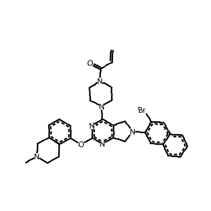 C=CC(=O)N1CCN(c2nc(Oc3cccc4c3CCN(C)C4)nc3c2CN(c2cc4ccccc4cc2Br)C3)CC1